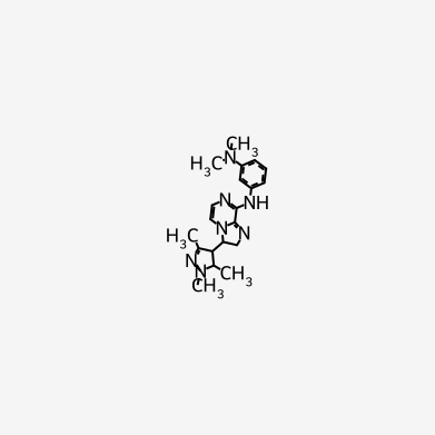 CC1=NN(C)C(C)C1C1CN=C2C(Nc3cccc(N(C)C)c3)=NC=CN21